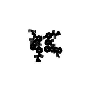 CCNCCOc1ccccc1C(C)(C)Nc1nccn(-c2cc(C(=O)NC3CC3)ccc2C)c1=O.Cc1ccc(C(=O)NC2CC2)cc1-n1ccnc(N[C@@H](c2ccccc2)[C@@H](C)CN2CCCC2(C)C)c1=O